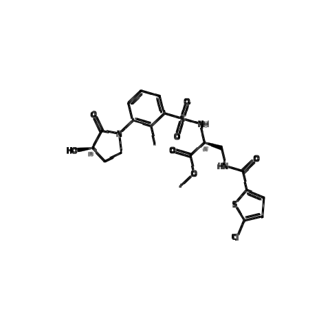 COC(=O)[C@H](CNC(=O)c1ccc(Cl)s1)NS(=O)(=O)c1cccc(N2CC[C@@H](O)C2=O)c1C